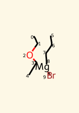 CCOCC.CC[CH2][Mg][Br]